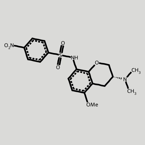 COc1ccc(NS(=O)(=O)c2ccc([N+](=O)[O-])cc2)c2c1C[C@@H](N(C)C)CO2